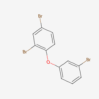 Brc1cccc(Oc2ccc(Br)cc2Br)c1